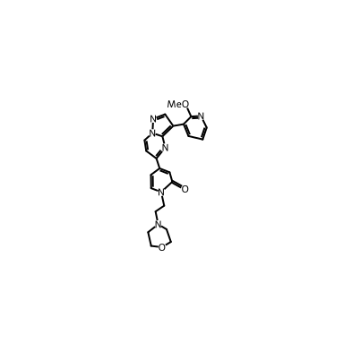 COc1ncccc1-c1cnn2ccc(-c3ccn(CCN4CCOCC4)c(=O)c3)nc12